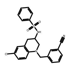 N#Cc1cccc(CN2CC(NS(=O)(=O)c3ccccc3)Cc3cc(Cl)ccc32)c1